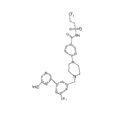 O=C(NS(=O)(=O)CCC(F)(F)F)c1ccc(N2CCN(Cc3cc(-c4cncc(O)c4)cc(C(F)(F)F)c3)CC2)cc1